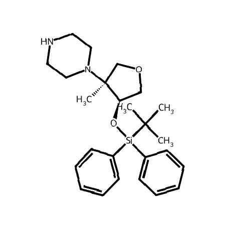 CC(C)(C)[Si](O[C@@H]1COC[C@]1(C)N1CCNCC1)(c1ccccc1)c1ccccc1